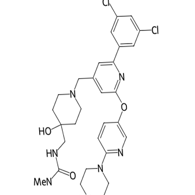 CNC(=O)NCC1(O)CCN(Cc2cc(Oc3ccc(N4CCNCC4)nc3)nc(-c3cc(Cl)cc(Cl)c3)c2)CC1